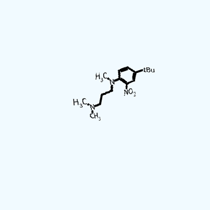 CN(C)CCCN(C)c1ccc(C(C)(C)C)cc1[N+](=O)[O-]